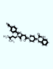 CC(C)CCN1C(=O)C(CC(=O)N2CCC(N3Cc4ccccc4NC3=O)CC2)SC1c1ccc(C#N)cc1